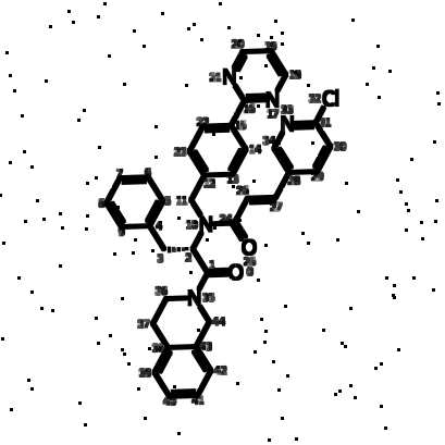 O=C([C@H](Cc1ccccc1)N(Cc1ccc(-c2ncccn2)cc1)C(=O)C=Cc1ccc(Cl)nc1)N1CCc2ccccc2C1